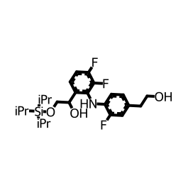 CC(C)[Si](OCC(O)c1ccc(F)c(F)c1Nc1ccc(CCO)cc1F)(C(C)C)C(C)C